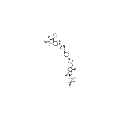 CC(=O)c1c(C)c2cnc(Nc3ccc(N4CCC(N5CCN(Cc6ccc7c(c6F)CN(C6CCC(=O)NC6=O)C7=O)CC5)CC4)cn3)nc2n(C2CCCC2)c1=O